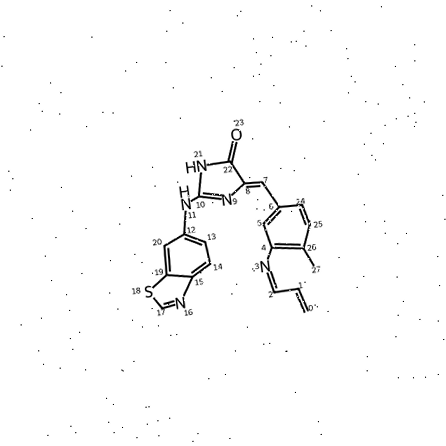 C=C/C=N\c1cc(/C=C2\N=C(Nc3ccc4ncsc4c3)NC2=O)ccc1C